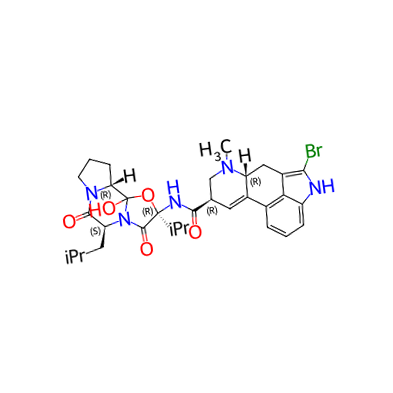 CC(C)C[C@H]1C(=O)N2CCC[C@@H]2C2(O)O[C@](NC(=O)[C@@H]3C=C4c5cccc6[nH]c(Br)c(c56)C[C@H]4N(C)C3)(C(C)C)C(=O)N12